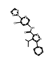 CC(C)c1c(-c2ccccc2)nsc1C(=O)Nc1cnc(-n2nccn2)c(Cl)c1